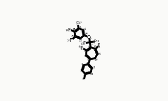 Cc1ccc(C2=CC(F)=C(C(F)(F)Oc3cc(F)c(F)c(F)c3)C(F)=CC2)cc1